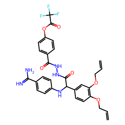 C=CCOc1ccc(C(Nc2ccc(C(=N)N)cc2)C(=O)NNC(=O)c2ccc(OC(=O)C(F)(F)F)cc2)cc1OCC=C